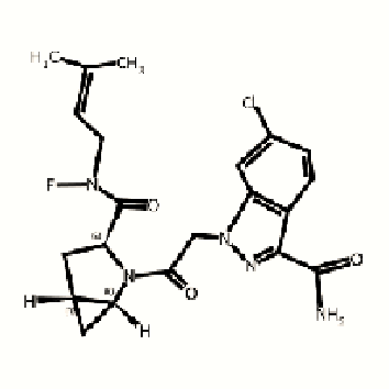 CC(C)=CCN(F)C(=O)[C@@H]1C[C@H]2C[C@H]2N1C(=O)Cn1nc(C(N)=O)c2ccc(Cl)cc21